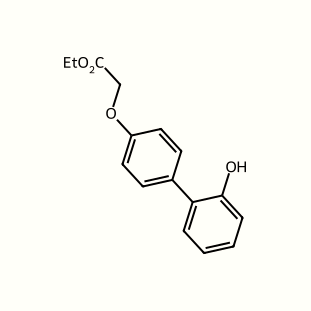 CCOC(=O)COc1ccc(-c2ccccc2O)cc1